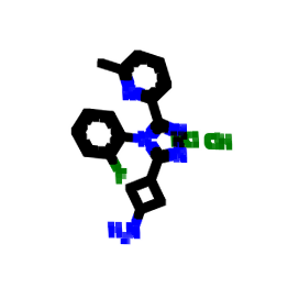 Cc1cccc(-c2nnc(C3CC(N)C3)n2-c2ccccc2F)n1.Cl.Cl